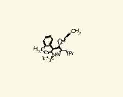 CC#CCOc1c(CC(C)C)nn(C)c(=O)c1-c1ccccc1C